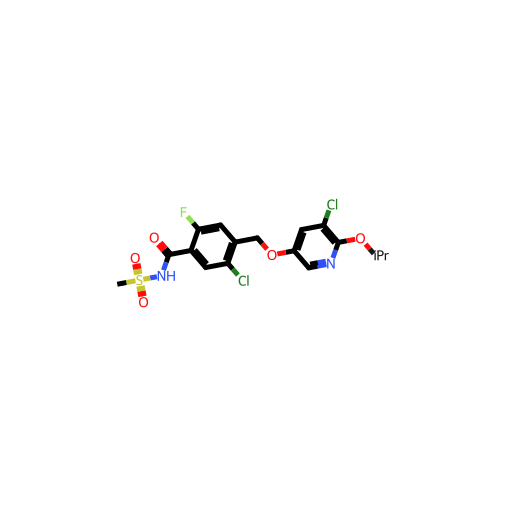 CC(C)Oc1ncc(OCc2cc(F)c(C(=O)NS(C)(=O)=O)cc2Cl)cc1Cl